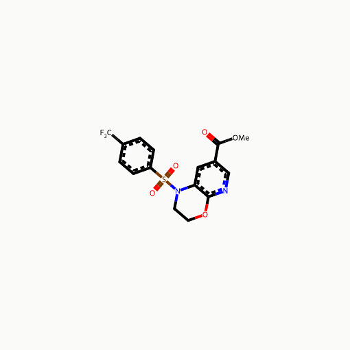 COC(=O)c1cnc2c(c1)N(S(=O)(=O)c1ccc(C(F)(F)F)cc1)CCO2